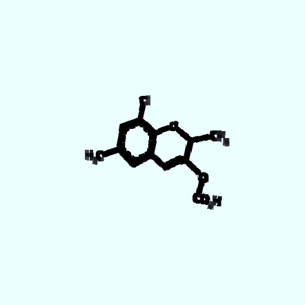 Cc1cc(Cl)c2c(c1)C=C(OC(=O)O)C(C(F)(F)F)O2